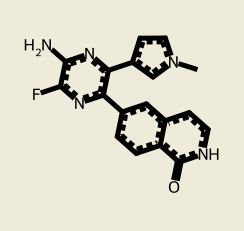 Cn1ccc(-c2nc(N)c(F)nc2-c2ccc3c(=O)[nH]ccc3c2)c1